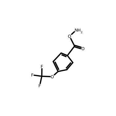 NOC(=O)c1ccc(OC(F)(F)F)cc1